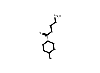 C[C@H]1CC[C@H](C(=O)CCCC(=O)O)CC1